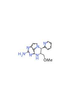 COCC1Nc2nc(N)nc3ccn(c23)[C@H]1c1ccccn1